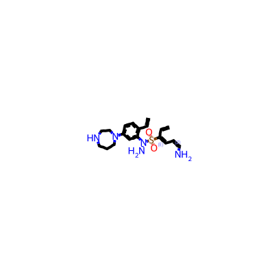 C=C/C(=C\C=C/N)S(=O)(=O)N(N)c1cc(N2CCCNCC2)ccc1C=C